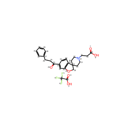 O=C(O)C(F)(F)F.O=C(O)CCN1CCC2(CC1)COc1cc(C(=O)CCc3ccccc3)ccc12